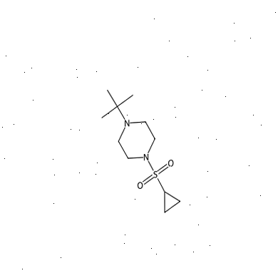 CC(C)(C)N1CCN(S(=O)(=O)C2CC2)CC1